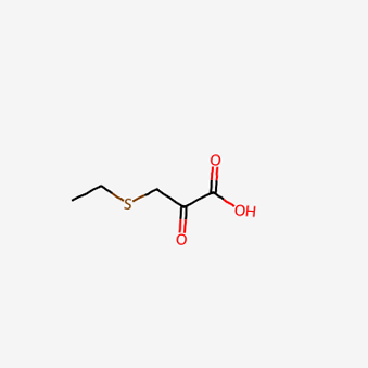 CCSCC(=O)C(=O)O